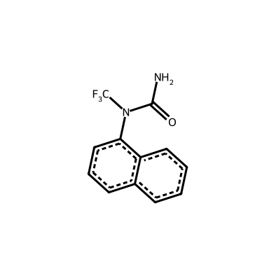 NC(=O)N(c1cccc2ccccc12)C(F)(F)F